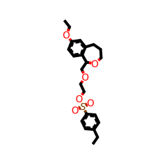 CCOc1ccc2c(c1)CCCOC2COCCOS(=O)(=O)c1ccc(CC)cc1